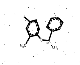 Cc1cc(I)ccc1O[C@@H](C)c1ccccc1